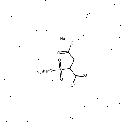 O=C([O-])CC(C(=O)[O-])S(=O)(=O)[O-].[Na+].[Na+].[Na+]